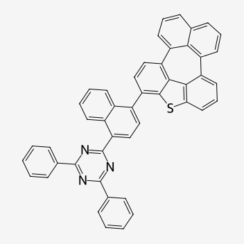 c1ccc(-c2nc(-c3ccccc3)nc(-c3ccc(-c4ccc5c6c4sc4cccc(c46)-c4cccc6cccc-5c46)c4ccccc34)n2)cc1